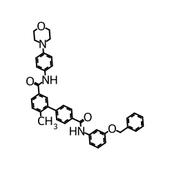 Cc1ccc(C(=O)Nc2ccc(N3CCOCC3)cc2)cc1-c1ccc(C(=O)Nc2cccc(OCc3ccccc3)c2)cc1